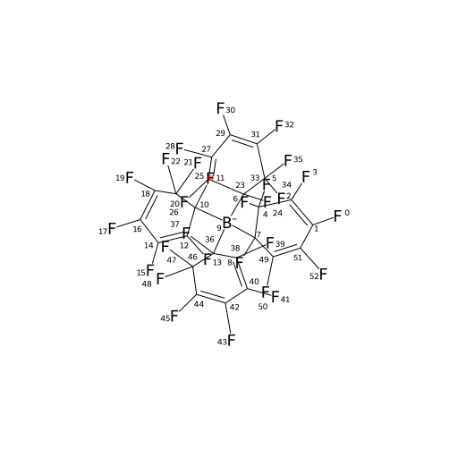 FC1=C(F)C(F)(F)C(F)([B-](C2(F)C(F)=C(F)C(F)=C(F)C2(F)F)(C2(F)C(F)=C(F)C(F)=C(F)C2(F)F)C2(F)C(F)=C(F)C(F)=C(F)C2(F)F)C(F)=C1F